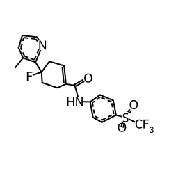 Cc1cccnc1C1(F)CC=C(C(=O)Nc2ccc(S(=O)(=O)C(F)(F)F)cc2)CC1